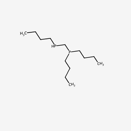 CCCCPCP(CCCC)CCCC